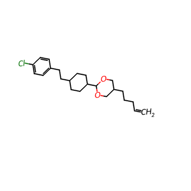 C=CCCCC1COC(C2CCC(CCc3ccc(Cl)cc3)CC2)OC1